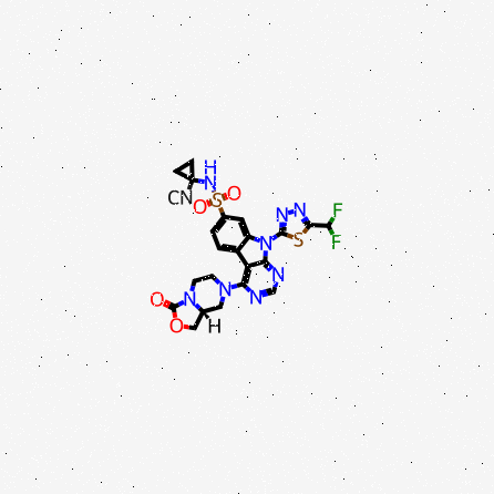 N#CC1(NS(=O)(=O)c2ccc3c4c(N5CCN6C(=O)OC[C@H]6C5)ncnc4n(-c4nnc(C(F)F)s4)c3c2)CC1